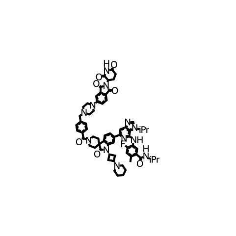 Cc1cc(F)c(Nc2nc(-c3ccc4c(c3)N([C@H]3C[C@@H](N5CCCCC5)C3)C(=O)C43CCN(C(=O)c4ccc(CN5CCN(c6ccc7c(c6)C(=O)N(C6CCC(=O)NC6=O)C7=O)CC5)cc4)CC3)cc3ncn(C(C)C)c23)cc1C(=O)NC(C)C